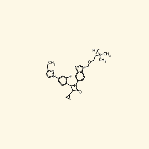 CCc1ccn(-c2ccc(C3C(C4CC4)C(=O)N3c3ccc4c(c3)ncn4COCC[Si](C)(C)C)c(F)c2)n1